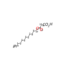 CC(C)CCCCCCCCCCOC(=O)CC(=O)O